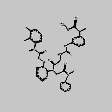 Cc1cccc(N(C)C(=O)COc2ccccc2N(CC(=O)N(C)c2ccccc2)C(=O)CNC(=O)Nc2cccc(C(C)C(=O)OC(C)(C)C)c2)c1C